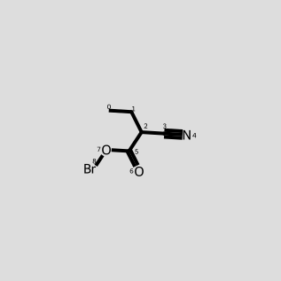 CCC(C#N)C(=O)OBr